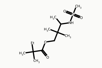 CCC(C)(C)C(=O)OCC(C)(C)C(C)NS(C)(=O)=O